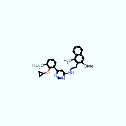 COc1cc2ccccc2c(C)c1CCNc1cc(-c2cccc(C(=O)O)c2OC2CC2)ncn1